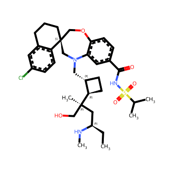 CC[C@H](C[C@@](C)(CO)[C@@H]1CC[C@H]1CN1C[C@@]2(CCCc3cc(Cl)ccc32)COc2ccc(C(=O)NS(=O)(=O)C(C)C)cc21)NC